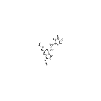 C#CCn1cnc2c(N[C@@H]3C[C@H]3C3=CC=C(F)C(F)C3C)nc(SCCC)nc21